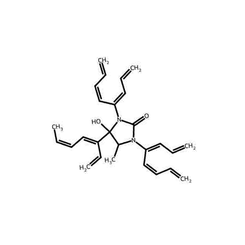 C=C/C=C\C(=C/C=C)N1C(=O)N(C(/C=C\C=C)=C/C=C)C(O)(/C(C=C)=C/C=C\C)C1C